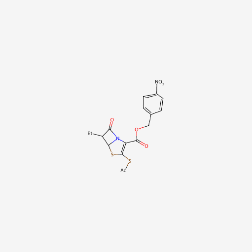 CCC1C(=O)N2C(C(=O)OCc3ccc([N+](=O)[O-])cc3)=C(SC(C)=O)SC12